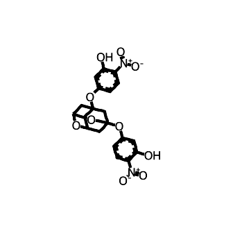 O=[N+]([O-])c1ccc(OC23CC4CC(Oc5ccc([N+](=O)[O-])c(O)c5)(C2)OC(C3)O4)cc1O